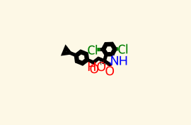 O=C(C[C@@]1(O)C(=O)Nc2c(Cl)ccc(Cl)c21)c1ccc(C2CC2)cc1